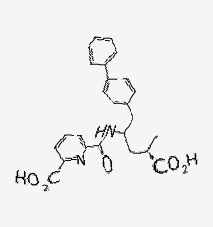 C[C@H](CC(Cc1ccc(-c2ccccc2)cc1)NC(=O)c1cccc(C(=O)O)n1)C(=O)O